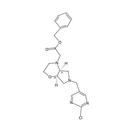 O=C(CN1CCO[C@@H]2CN(Cc3cnc(Cl)nc3)C[C@@H]21)OCc1ccccc1